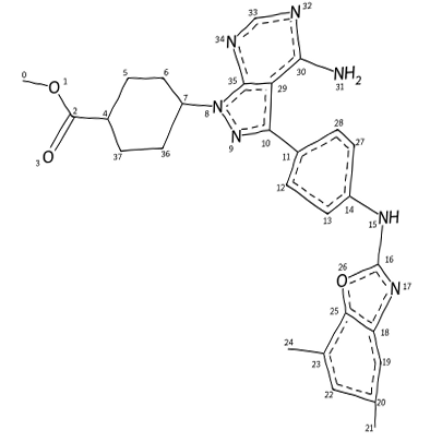 COC(=O)C1CCC(n2nc(-c3ccc(Nc4nc5cc(C)cc(C)c5o4)cc3)c3c(N)ncnc32)CC1